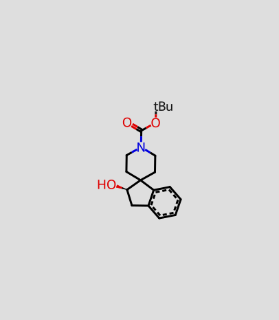 CC(C)(C)OC(=O)N1CCC2(CC1)c1ccccc1C[C@H]2O